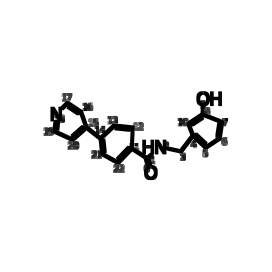 O=C(NCc1cccc(O)c1)c1ccc(-c2ccncc2)cc1